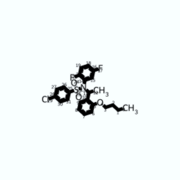 C[CH]CCOc1ccccc1C(C)N(c1cc(F)ccc1F)S(=O)(=O)c1ccc(Cl)cc1